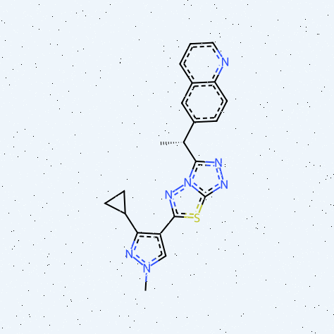 C[C@H](c1ccc2ncccc2c1)c1nnc2sc(-c3cn(C)nc3C3CC3)nn12